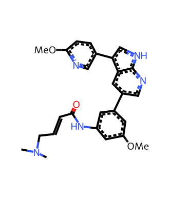 COc1cc(NC(=O)/C=C/CN(C)C)cc(-c2cnc3[nH]cc(-c4ccc(OC)nc4)c3c2)c1